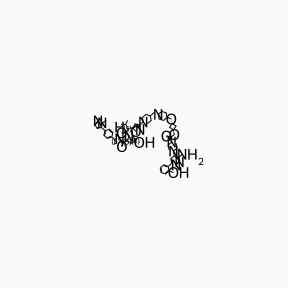 CC(C)[C@H](C(=O)N1C[C@H](O)C[C@H]1C(=O)N[C@@H](C)c1ccc(-c2ccnn2C)cc1)c1cc(N2CCC(CN3CCC(O[C@H]4C[C@H](OC(=O)N5CCN(c6cc(-c7ccccc7O)nnc6N)CC5)C4)CC3)CC2)no1